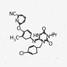 CC1=C(Oc2cccc(C#N)n2)C=CC(/N=c2\[nH]c(=O)n(C(C)C)c(=O)n2CC2C=CC(Cl)=CC2)C1